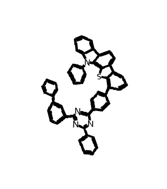 c1ccc(-c2cccc(-c3nc(-c4ccccc4)nc(-c4ccc(-c5cccc6c5sc5c6ccc6c7ccccc7n(-c7ccccc7)c65)cc4)n3)c2)cc1